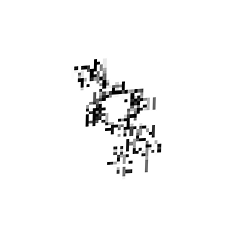 CC(C)C(=O)Nc1nc2c(ncn2[C@@H]2O[C@@H]3CNS(=O)(=O)O[C@H]4C[C@H](n5cnc6cncnc65)C[C@@H]4CO[P@@](=O)(S)O[C@@H]2C3)c(=O)[nH]1